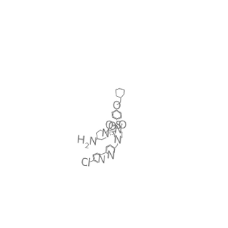 NC1CCN(C(=O)[C@@H]2CN(Cc3ccc(-c4ccc(Cl)cn4)nc3)CCN2S(=O)(=O)c2ccc(OCC3CCCCC3)cc2)CC1